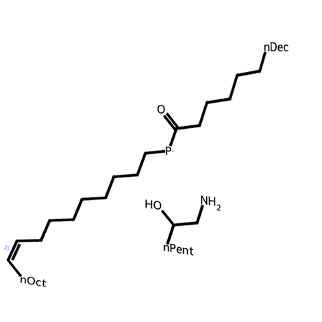 CCCCCC(O)CN.CCCCCCCC/C=C\CCCCCCCC[P]C(=O)CCCCCCCCCCCCCCC